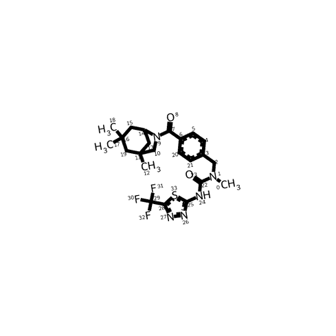 CN(Cc1ccc(C(=O)N2CC3(C)CC2CC(C)(C)C3)cc1)C(=O)Nc1nnc(C(F)(F)F)s1